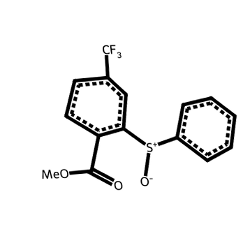 COC(=O)c1ccc(C(F)(F)F)cc1[S+]([O-])c1ccccc1